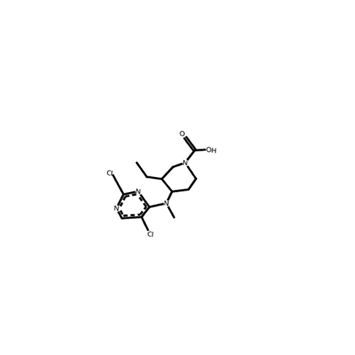 CCC1CN(C(=O)O)CCC1N(C)c1nc(Cl)ncc1Cl